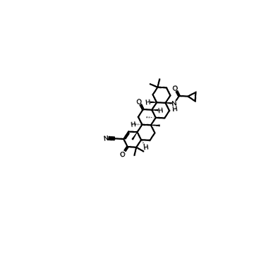 CC1(C)CC[C@]2(NC(=O)C3CC3)CC[C@]3(C)[C@H](C(=O)C[C@@H]4[C@@]5(C)C=C(C#N)C(=O)C(C)(C)[C@@H]5CC[C@]43C)[C@@H]2C1